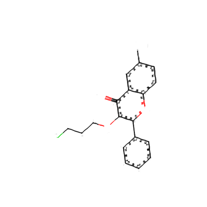 CCOC(=O)c1ccc2oc(-c3ccccc3)c(OCCCCl)c(=O)c2c1